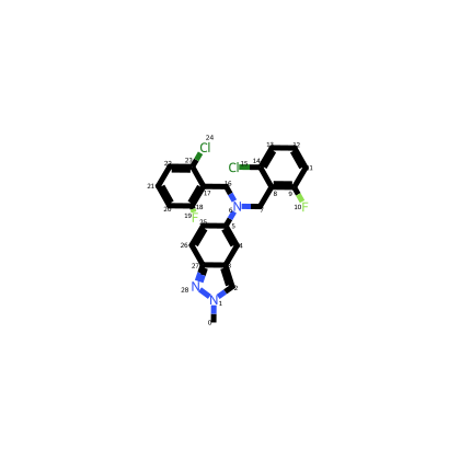 Cn1cc2cc(N(Cc3c(F)cccc3Cl)Cc3c(F)cccc3Cl)ccc2n1